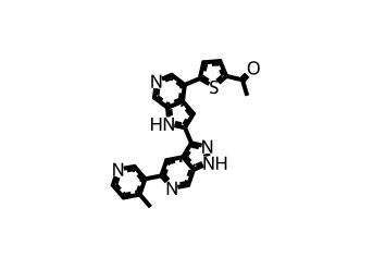 CC(=O)c1ccc(-c2cncc3[nH]c(-c4n[nH]c5cnc(-c6cnccc6C)cc45)cc23)s1